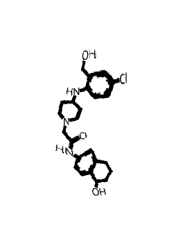 O=C(CN1CCC(Nc2ccc(Cl)cc2CO)CC1)Nc1ccc2c(c1)CCCC2O